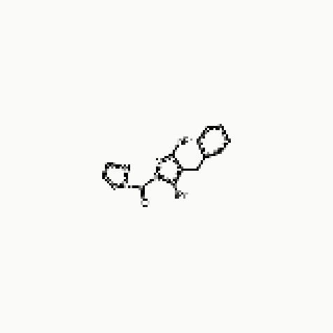 CCCc1nn(C(=O)n2cccn2)c(C(C)C)c1Cc1ccccc1